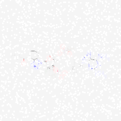 CC(=O)c1cccc2c1nnn2[C@@H]1O[C@@H]2COP(=O)(S)OCC3[C@@H](COP(=O)(S)O[C@H]2[C@@H]1F)C[C@H]3n1cnc2c(N)nc(N)nc21